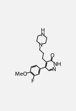 COc1ccc(-c2cn[nH]c(=O)c2CCCN2CCNCC2)cc1F